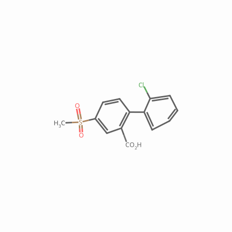 CS(=O)(=O)c1ccc(-c2ccccc2Cl)c(C(=O)O)c1